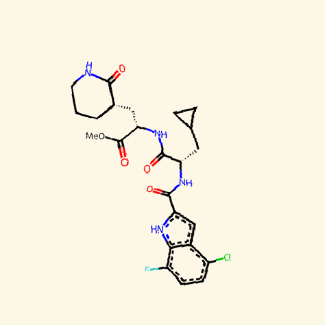 COC(=O)[C@H](C[C@@H]1CCCNC1=O)NC(=O)[C@H](CC1CC1)NC(=O)c1cc2c(Cl)ccc(F)c2[nH]1